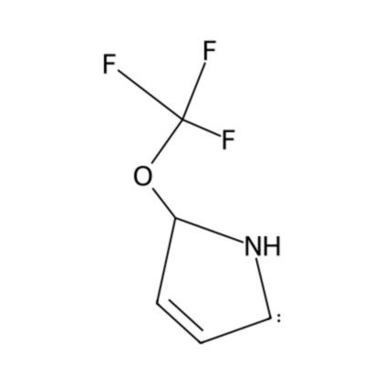 FC(F)(F)OC1C=C[C]N1